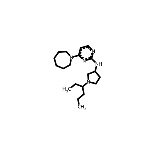 CCCC(CC)N1CCC(Nc2nccc(N3CCCCCC3)n2)C1